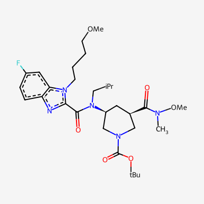 COCCCCn1c(C(=O)N(CC(C)C)[C@H]2C[C@@H](C(=O)N(C)OC)CN(C(=O)OC(C)(C)C)C2)nc2ccc(F)cc21